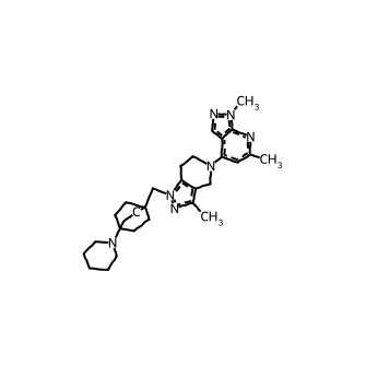 Cc1cc(N2CCc3c(c(C)nn3CC34CCC(N5CCCCC5)(CC3)CC4)C2)c2cnn(C)c2n1